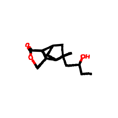 CCC(O)CC1(C)CC2CC1C1COC(=O)C21